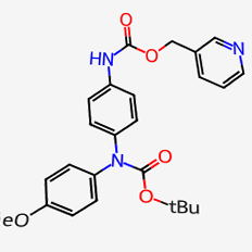 COc1ccc(N(C(=O)OC(C)(C)C)c2ccc(NC(=O)OCc3cccnc3)cc2)cc1